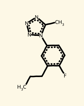 CCCc1cc(-n2nnnc2C)ccc1F